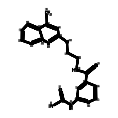 CC(C)C(=O)Nc1cc(C(=O)NCCOc2cc(C(F)(F)F)c3ccccc3n2)ccn1